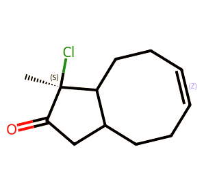 C[C@@]1(Cl)C(=O)CC2CC/C=C\CCC21